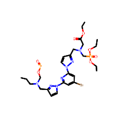 CCCN(COP=O)Cc1ccn(-c2cc(Br)cc(-n3ccc(CN(CC(=O)OCC)CP(=O)(OCC)OCC)n3)n2)n1